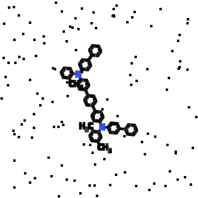 Cc1ccc(C)c(N(c2ccc(-c3ccccc3)cc2)c2ccc(-c3ccc(-c4ccc(N(c5ccc(-c6ccccc6)cc5)c5ccccc5C)cc4)cc3)cc2)c1